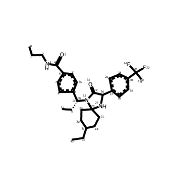 CCCNC(=O)c1ccc([C@@H](CC)N2C(=O)C(c3ccc(C(F)(F)F)cc3)NC23CCC(CC)CC3)cc1